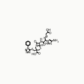 NC1=CN(C(=NOCC(=O)O)C(=O)NC2C(=O)N3CC(CSc4nnnn4-c4ccccc4)(C(=O)O)CS[C@H]23)NS1